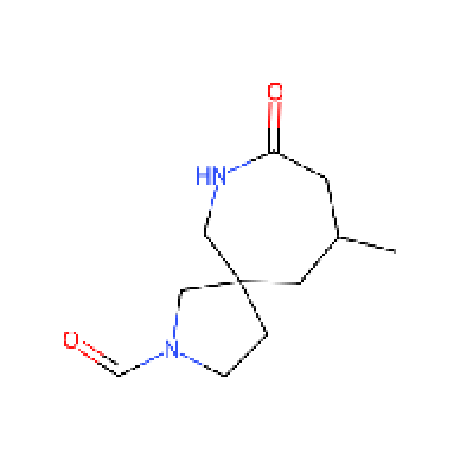 CC1CC(=O)NCC2(CCN(C=O)C2)C1